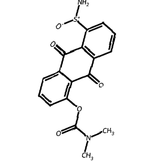 CN(C)C(=O)Oc1cccc2c1C(=O)c1cccc([S+](N)[O-])c1C2=O